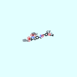 C/C(=N\OCc1ccc(OCC2CC2)c(C(F)(F)F)c1)c1ccc2c(c1)CCC2N(CC1(C(=O)OC(C)(C)C)CC1)C(=O)OC(C)(C)C